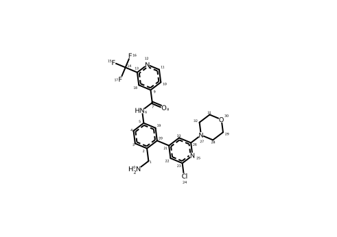 NCc1ccc(NC(=O)c2ccnc(C(F)(F)F)c2)cc1-c1cc(Cl)nc(N2CCOCC2)c1